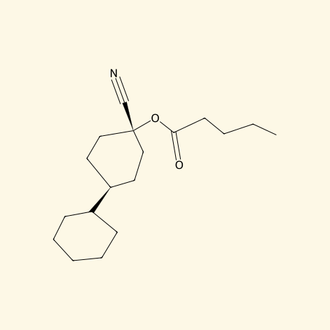 CCCCC(=O)O[C@]1(C#N)CC[C@@H](C2CCCCC2)CC1